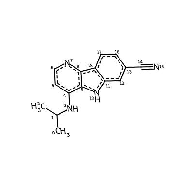 CC(C)Nc1ccnc2c1[nH]c1cc(C#N)ccc12